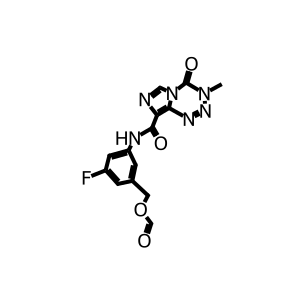 Cn1nnc2c(C(=O)Nc3cc(F)cc(COC=O)c3)ncn2c1=O